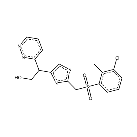 Cc1c(Cl)cccc1S(=O)(=O)Cc1nc(C(CO)c2cccnn2)cs1